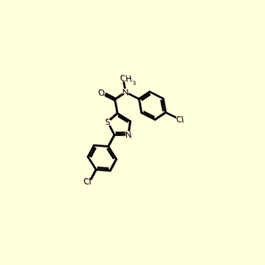 CN(C(=O)c1cnc(-c2ccc(Cl)cc2)s1)c1ccc(Cl)cc1